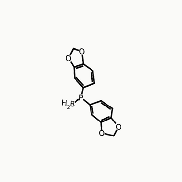 BP(c1ccc2c(c1)OCO2)c1ccc2c(c1)OCO2